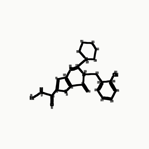 C=C1c2sc(C(=O)NCC)cc2N=C(N2CCCCC2)N1Cc1ccccc1C#N